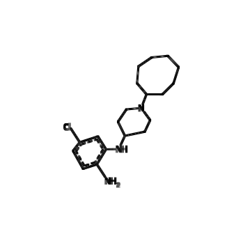 Nc1ccc(Cl)cc1NC1CCN(C2CCCCCCC2)CC1